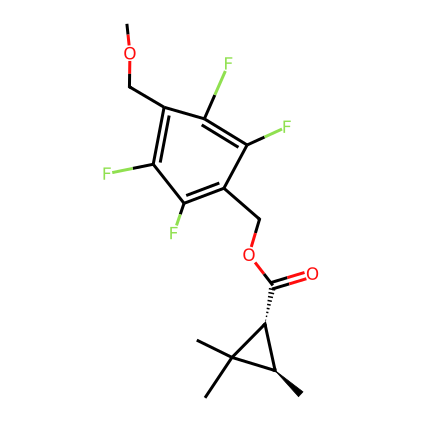 COCc1c(F)c(F)c(COC(=O)[C@@H]2[C@@H](C)C2(C)C)c(F)c1F